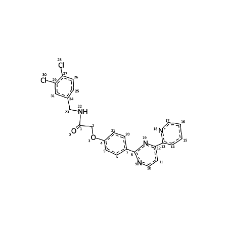 O=C(COc1ccc(-c2nccc(-c3ccccn3)n2)cc1)NCc1ccc(Cl)c(Cl)c1